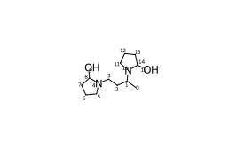 CC(CCN1CCCC1O)N1CCCC1O